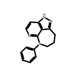 c1ccc(N2CCCc3n[nH]c4ccnc2c34)cc1